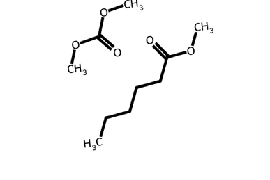 CCCCCC(=O)OC.COC(=O)OC